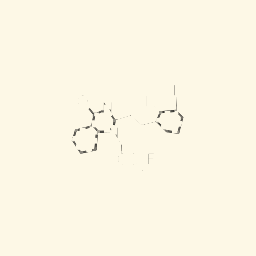 CCOC(=O)Cn1c(CCc2cccc(F)c2F)nc(=O)c2ccccc21